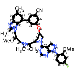 C=C1C2CC(CN2c2ncnc3c2cnn3-c2ccc(F)cc2OC)Oc2cc(C#N)cc(c2)-c2cc(C)cc3nc(C)n(c23)CC(OC)CN1C